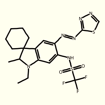 CCN1c2cc(NS(=O)(=O)C(F)(F)F)c(N=Nc3nncs3)cc2C2(CCCCC2)C1C